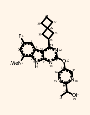 CNc1cc(F)cc2c1[nH]c1nc(Oc3cnc(C(C)O)nc3)nc(C3CC4(CCC4)C3)c12